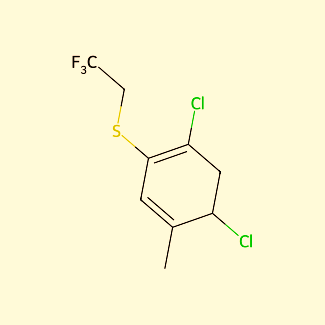 CC1=CC(SCC(F)(F)F)=C(Cl)CC1Cl